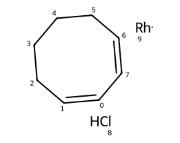 C1=CCCCCC=C1.Cl.[Rh]